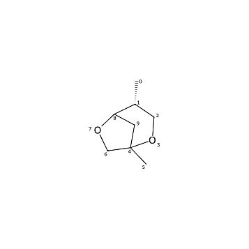 C[C@@H]1COC2(C)COC1C2